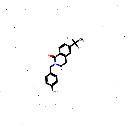 COc1ccc(CN2CCc3cc(C(C)(C)C(C)=O)ccc3C2=O)cc1